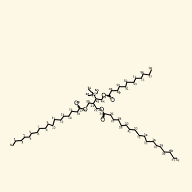 CCCCCCCCCCCCCCCCCC(=O)OCC(COC(=O)CCCCCCCCCCCCCCCCC)C(COC(=O)CCCCCCCCCCC)[N+](C)(C)C